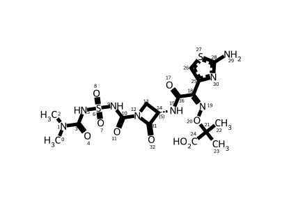 CN(C)C(=O)NS(=O)(=O)NC(=O)N1C[C@H](NC(=O)C(=NOC(C)(C)C(=O)O)c2csc(N)n2)C1=O